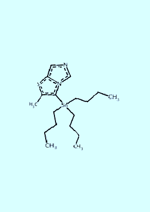 CCC[CH2][Sn]([CH2]CCC)([CH2]CCC)[c]1c(C)sc2cncn12